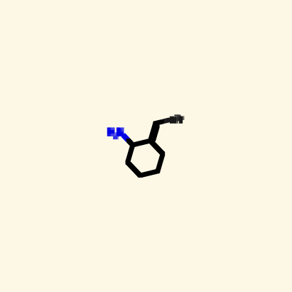 CCCC=C1CCCCC1N